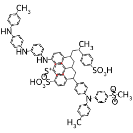 Cc1ccc(Nc2ccc(Nc3cccc(Nc4ccc(C(CC(C)c5ccc(S(=O)(=O)O)cc5)CC(CC(c5ccc(N(c6ccc(C)cc6)c6ccc(S(C)(=O)=O)cc6)cc5)c5ccc(S(=O)(=O)O)cc5)c5ccc([S+]=O)cc5)cc4)c3)cc2)cc1